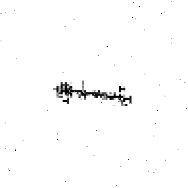 O=C(CI)NCCCOCCOCCOCCCNC(=O)CCCC[C@@H]1SC[C@@H]2NC(=O)N[C@@H]21